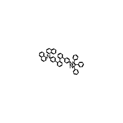 c1ccc(-c2nn(-c3ccc(-c4ccccc4-c4ccccc4-c4ccc(N(c5cccc6ccccc56)c5cccc6ccccc56)cc4)cc3)c(-c3ccccc3)c2-c2ccccc2)cc1